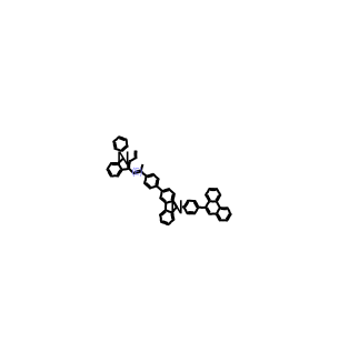 C=Cc1c(/C=C(\C)c2ccc(-c3ccc4c(c3)c3ccccc3n4-c3ccc(-c4cc5ccccc5c5ccccc45)cc3)cc2)c2ccccc2n1-c1ccccc1